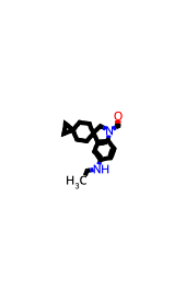 CCNc1ccc2c(c1)C1(CCC3(CC3)CC1)CN2C=O